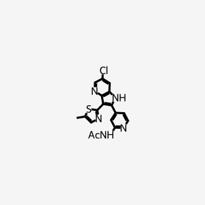 CC(=O)Nc1cc(-c2[nH]c3cc(Cl)cnc3c2-c2ncc(C)s2)ccn1